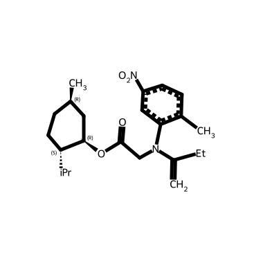 C=C(CC)N(CC(=O)O[C@@H]1C[C@H](C)CC[C@H]1C(C)C)c1cc([N+](=O)[O-])ccc1C